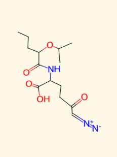 CCCC(OC(C)C)C(=O)NC(CCC(=O)C=[N+]=[N-])C(=O)O